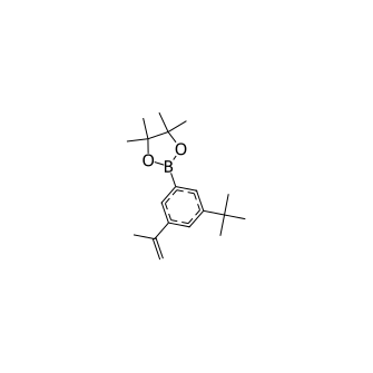 C=C(C)c1cc(B2OC(C)(C)C(C)(C)O2)cc(C(C)(C)C)c1